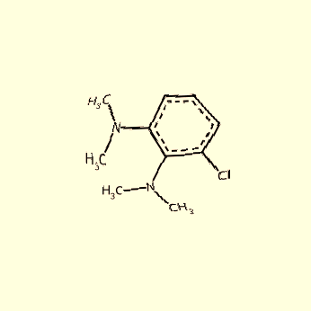 CN(C)c1cccc(Cl)c1N(C)C